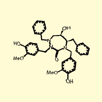 COc1cc(CN2C(=O)N(Cc3ccc(O)c(OC)c3)N(Cc3ccccc3)C[C@@H](O)[C@H]2Cc2ccccc2)ccc1O